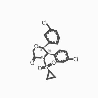 O=C1CO[C@@H](c2cccc(Cl)c2)[C@@H](c2ccc(Cl)cc2)N1S(=O)(=O)C1CC1